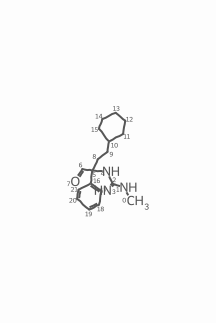 CNC(=N)NC(C=O)(CCC1CCCCC1)c1ccccc1